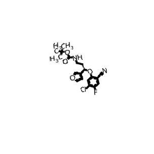 CC(C)(C)OC(=O)NCC[C@@H](Oc1cc(Cl)c(F)cc1C#N)c1ccoc1